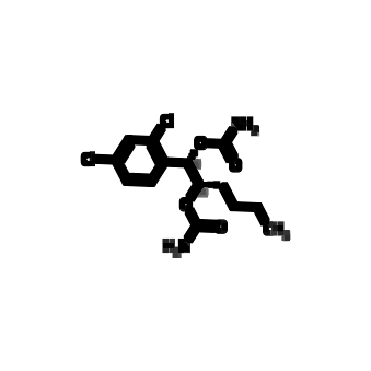 CCCC[C@H](OC(N)=O)[C@@H](OC(N)=O)c1ccc(Cl)cc1Cl